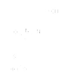 COc1ccc(CN2C(=O)C3(CCc4sc(C(=O)O)cc4C3)c3cccnc32)cc1